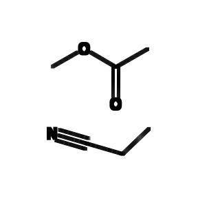 CCC#N.COC(C)=O